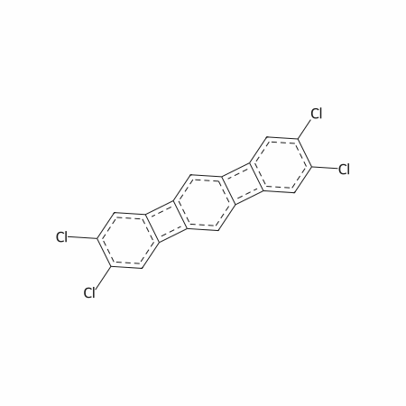 Clc1cc2c(cc1Cl)c1cc3c4cc(Cl)c(Cl)cc4c3cc21